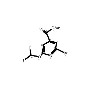 COC(=O)c1cc(Br)nc(OC(F)F)c1